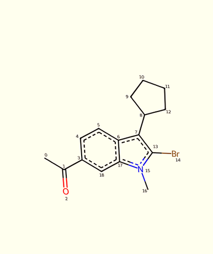 CC(=O)c1ccc2c(C3CCCC3)c(Br)n(C)c2c1